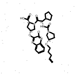 C=CCCCO[C@H]1CCN(C(=O)N[C@H](C(=O)N2C[C@H](Oc3nc4ccccc4nc3Cl)C[C@H]2C(=O)O)C2CCCC2)C1